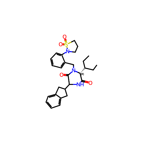 CCC(CC)[C@@H]1C(=O)NC(C2Cc3ccccc3C2)C(=O)N1Cc1ccccc1N1CCCS1(=O)=O